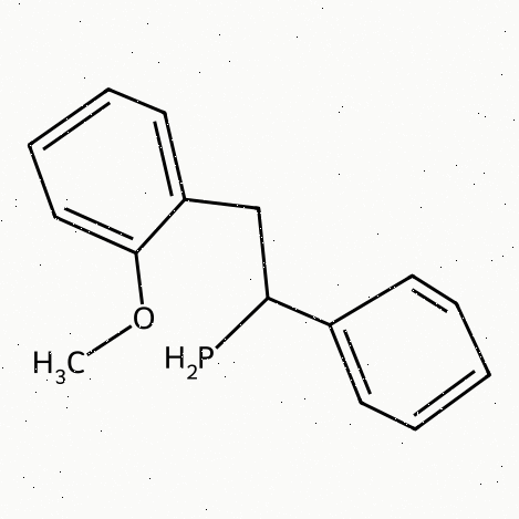 COc1ccccc1CC(P)c1ccccc1